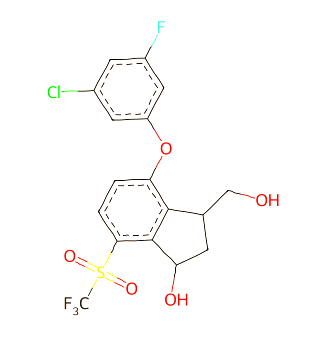 O=S(=O)(c1ccc(Oc2cc(F)cc(Cl)c2)c2c1C(O)CC2CO)C(F)(F)F